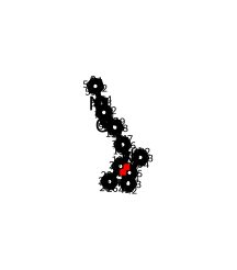 c1ccc(C2=Nc3cc4oc5cc(-c6ccc(N(c7ccc(-c8ccccc8)cc7)c7ccccc7-c7ccc8ccccc8c7)cc6)ccc5c4cc3C2)cc1